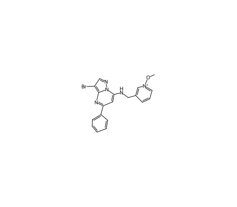 CO[n+]1cccc(CNc2cc(-c3ccccc3)nc3c(Br)cnn23)c1